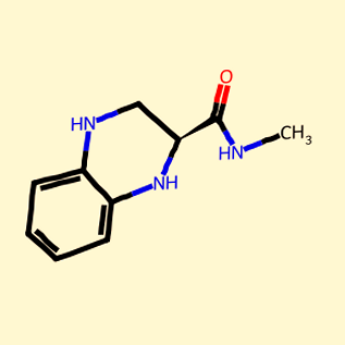 CNC(=O)[C@@H]1CNc2ccccc2N1